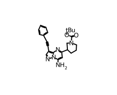 CC(C)(C)OC(=O)N1CCCC(c2cc(N)n3ncc(C#Cc4ccccc4)c3n2)C1